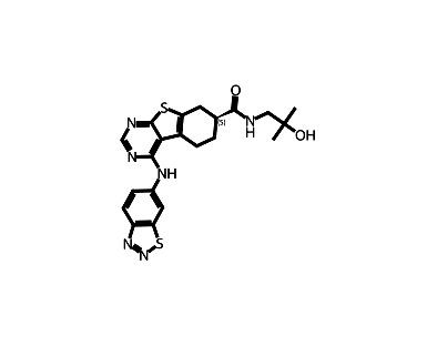 CC(C)(O)CNC(=O)[C@H]1CCc2c(sc3ncnc(Nc4ccc5nnsc5c4)c23)C1